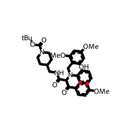 COc1ccc(C(=O)C(C(=O)NCC2CCN(C(=O)OC(C)(C)C)CC2)N(Cc2ccc(OC)cc2OC)c2ccccc2O)cc1